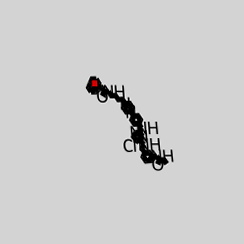 C=CC(=O)Nc1cccc(CNc2nc(Nc3ccc(N4CCN(CCCCNC(=O)CC56CC7CC(CC(C7)C5)C6)CC4)cc3)ncc2Cl)c1